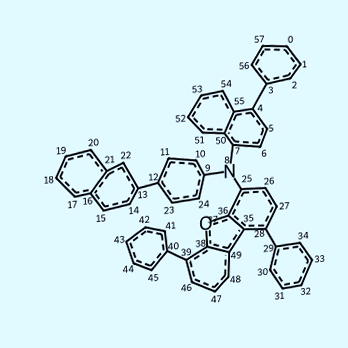 c1ccc(-c2ccc(N(c3ccc(-c4ccc5ccccc5c4)cc3)c3ccc(-c4ccccc4)c4c3oc3c(-c5ccccc5)cccc34)c3ccccc23)cc1